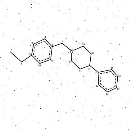 CCc1ccc(CN2CCC(c3ccccc3)CC2)cc1